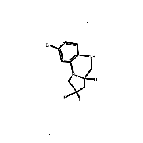 FC1(F)C[C@H]2CNc3ccc(Br)cc3N2C1